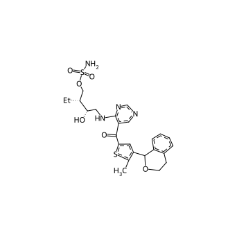 CC[C@H](COS(N)(=O)=O)[C@@H](O)CNc1ncncc1C(=O)c1cc(C2OCCc3ccccc32)c(C)s1